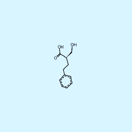 O=C(O)[C@@H](CO)CCc1ccccc1